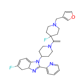 C=C(N1CCC(N2C3=CC=C(F)CC3N=C2c2ccccn2)CC1)C1(F)CCN(Cc2ccoc2)CC1